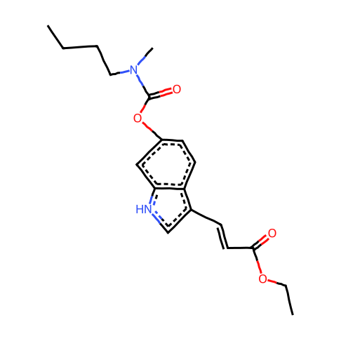 CCCCN(C)C(=O)Oc1ccc2c(C=CC(=O)OCC)c[nH]c2c1